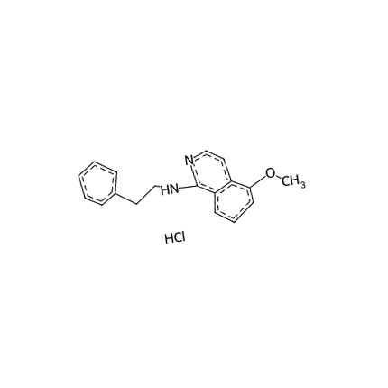 COc1cccc2c(NCCc3ccccc3)nccc12.Cl